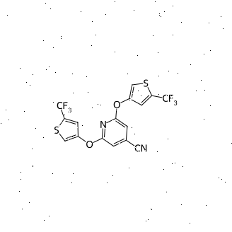 N#Cc1cc(Oc2csc(C(F)(F)F)c2)nc(Oc2csc(C(F)(F)F)c2)c1